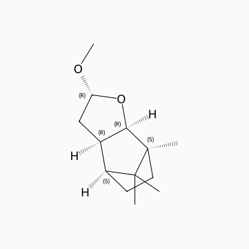 CO[C@H]1C[C@H]2[C@@H](O1)[C@@]1(C)CC[C@@H]2C1(C)C